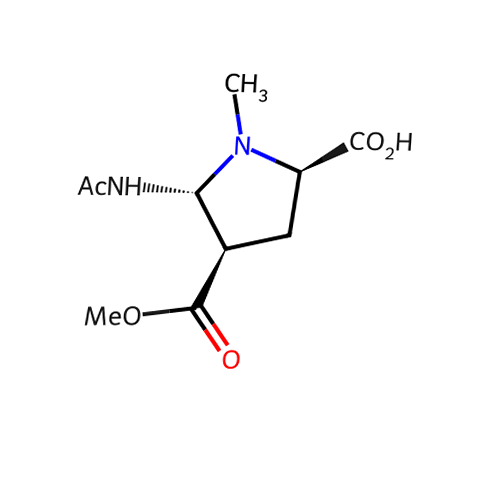 COC(=O)[C@@H]1C[C@H](C(=O)O)N(C)[C@H]1NC(C)=O